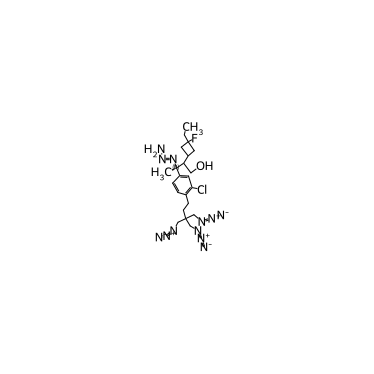 CCC1(F)CC(C(CO)[C@@](C)(N=NN)c2ccc(CCC(CN=[N+]=[N-])(CN=[N+]=[N-])CN=[N+]=[N-])c(Cl)c2)C1